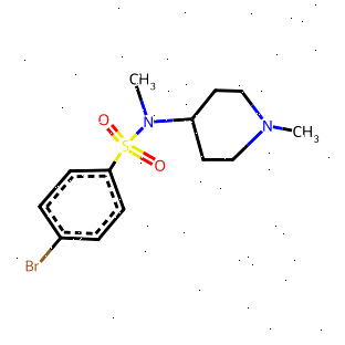 CN1CCC(N(C)S(=O)(=O)c2ccc(Br)cc2)CC1